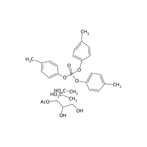 CC(=O)O.CC(=O)O.CC(=O)OCC(O)CO.Cc1ccc(OP(=O)(Oc2ccc(C)cc2)Oc2ccc(C)cc2)cc1